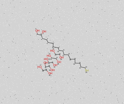 OCC(O)CCCCCCCCCCCCCCCCS.OCCO.OCCO.OCCO.OCCO.OCCO